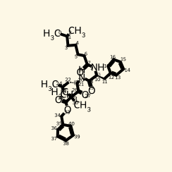 CC(C)CCCCC(=O)N[C@@H](Cc1ccccc1)C(=O)N[C@@H](CC(C)C)C(=O)C(C)(C)C(=O)OCc1ccccc1